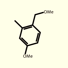 COCc1ccc(OC)cc1C